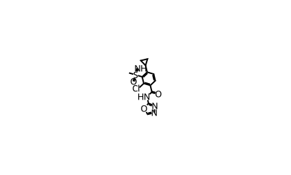 CS(=N)(=O)c1c(C2CC2)ccc(C(=O)Nc2nnco2)c1Cl